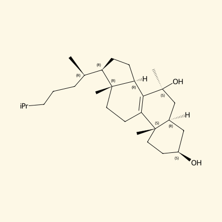 CC(C)CCC[C@@H](C)[C@H]1CC[C@H]2C3=C(CC[C@]12C)[C@@]1(C)CC[C@H](O)C[C@@H]1C[C@]3(C)O